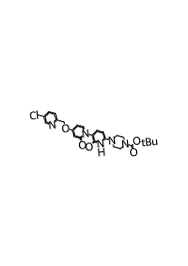 CC(C)(C)OC(=O)N1CCN(c2ccc(-n3ccc(OCc4ccc(Cl)cn4)cc3=O)c(=O)[nH]2)CC1